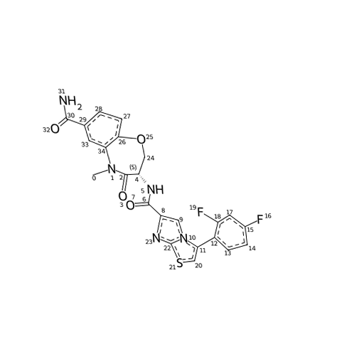 CN1C(=O)[C@@H](NC(=O)c2cn3c(-c4ccc(F)cc4F)csc3n2)COc2ccc(C(N)=O)cc21